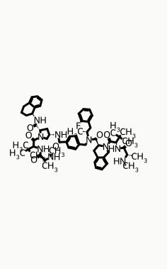 CN[C@@H](C)C(=O)NC(C(=O)N1C[C@@H](NC(=O)c2ccc(CN(C(=O)[C@@H]3Cc4ccccc4CN3C(=O)[C@@H](NC(=O)[C@H](C)NC)C(C)(C)C)[C@H](C)Cc3ccccc3F)cc2)C[C@H]1C(=O)N[C@@H]1CCCc2ccccc21)C(C)(C)C